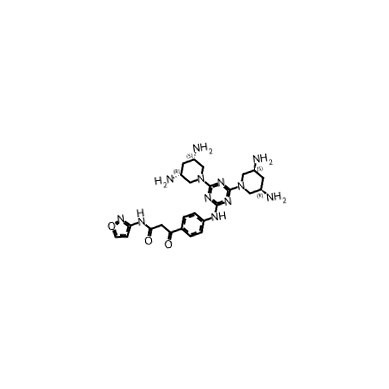 N[C@@H]1C[C@H](N)CN(c2nc(Nc3ccc(C(=O)CC(=O)Nc4ccon4)cc3)nc(N3C[C@H](N)C[C@H](N)C3)n2)C1